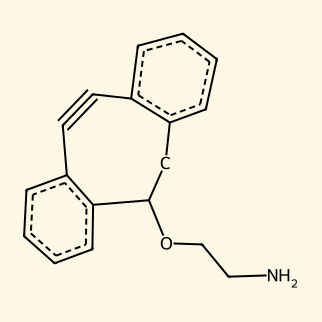 NCCOC1Cc2ccccc2C#Cc2ccccc21